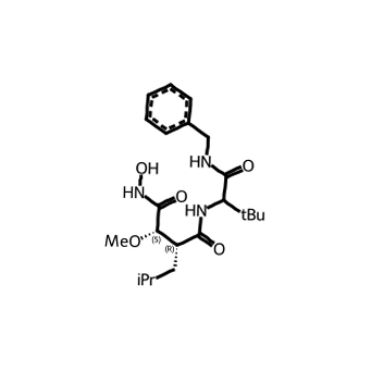 CO[C@H](C(=O)NO)[C@@H](CC(C)C)C(=O)NC(C(=O)NCc1ccccc1)C(C)(C)C